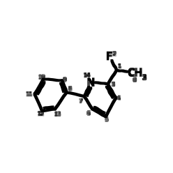 CC(F)c1cccc(-c2ccccc2)n1